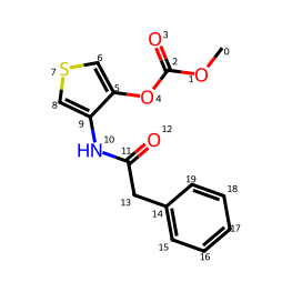 COC(=O)Oc1cscc1NC(=O)Cc1ccccc1